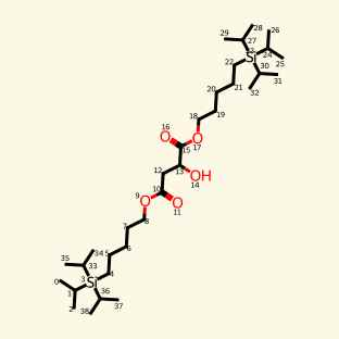 CC(C)[Si](CCCCCOC(=O)CC(O)C(=O)OCCCCC[Si](C(C)C)(C(C)C)C(C)C)(C(C)C)C(C)C